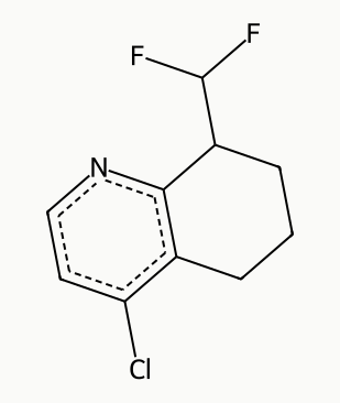 FC(F)C1CCCc2c(Cl)ccnc21